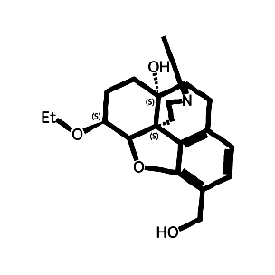 CCO[C@H]1CC[C@@]2(O)C3Cc4ccc(CO)c5c4[C@@]2(CCN3C)C1O5